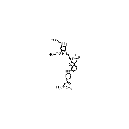 CN(C)CC(=O)N1CCC(Nc2cccc3c(CC(F)(F)F)c(C#CCNc4cc(F)c(NCCO)cc4OCCO)sc23)CC1